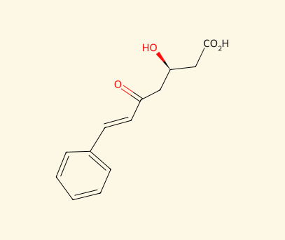 O=C(O)C[C@H](O)CC(=O)C=Cc1ccccc1